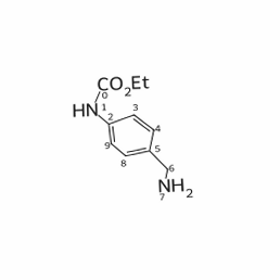 CCOC(=O)Nc1ccc(CN)cc1